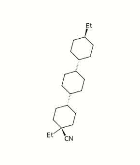 CC[C@H]1CC[C@H](C2CCC([C@H]3CC[C@@](C#N)(CC)CC3)CC2)CC1